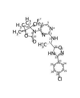 C[C@H](Nc1ncc(F)c(N2C(=O)OC(C)(C)C2(C)C)n1)C1NC(c2ccc(Cl)cc2)=NO1